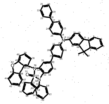 CC1(C)c2ccccc2-c2ccc(N(c3ccc(-c4ccccc4)cc3)c3ccc(-c4ccc5c(c4)N(c4cccc6oc7ccccc7c46)P(=O)(c4ccccc4)N5c4ccccc4)cc3)cc21